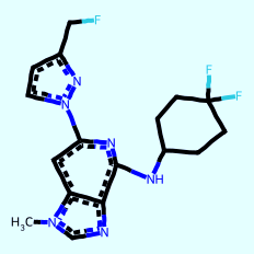 Cn1cnc2c(NC3CCC(F)(F)CC3)nc(-n3ccc(CF)n3)cc21